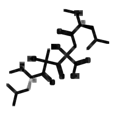 CN[C@@H](CC(C)C)C(=O)CC(O)(C(=O)O)C(=O)C(C)(O)C(=O)[C@H](CC(C)C)NC